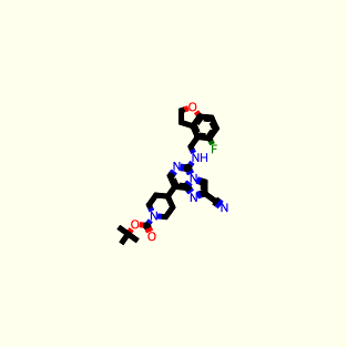 CC(C)(C)OC(=O)N1CCC(c2cnc(NCc3c(F)ccc4c3CCO4)n3cc(C#N)nc23)CC1